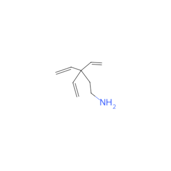 C=CC(C=C)(C=C)CCN